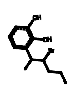 CCCC(Br)C(C)c1cccc(O)c1O